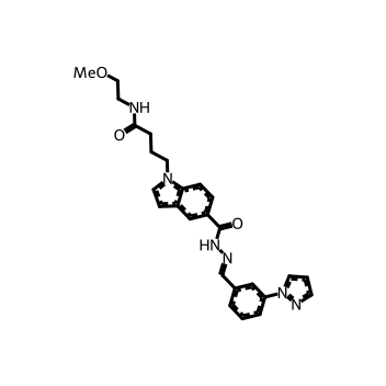 COCCNC(=O)CCCn1ccc2cc(C(=O)NN=Cc3cccc(-n4cccn4)c3)ccc21